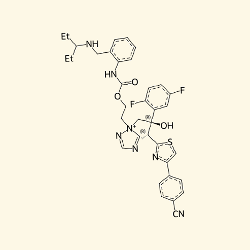 CCC(CC)NCc1ccccc1NC(=O)OCC[N+]1(C[C@](O)(c2cc(F)ccc2F)[C@@H](C)c2nc(-c3ccc(C#N)cc3)cs2)C=NC=N1